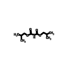 CC(C)COC(=O)NC(=O)OCC(C)C